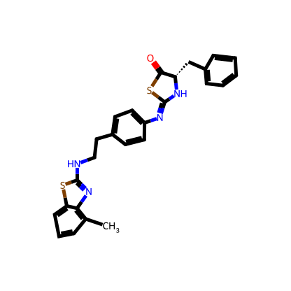 Cc1cccc2sc(NCCc3ccc(/N=C4/N[C@@H](Cc5ccccc5)C(=O)S4)cc3)nc12